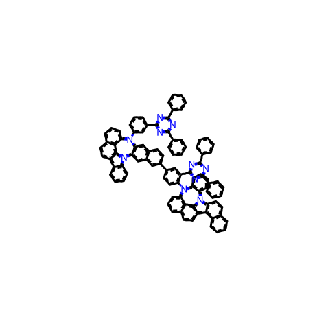 c1ccc(-c2nc(-c3ccccc3)nc(-c3cccc(-n4c5cccc6ccc7c8ccccc8n(c8cc9cc(-c%10ccc(-n%11c%12cccc%13ccc%14c%15c%16ccccc%16ccc%15n(c%15ccccc%15%11)c%14c%13%12)c(-c%11nc(-c%12ccccc%12)nc(-c%12ccccc%12)n%11)c%10)ccc9cc84)c7c65)c3)n2)cc1